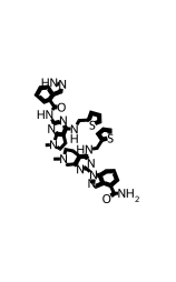 CN1CCc2c(NCc3cccs3)nc(NC(=O)c3cccc4[nH]ncc34)nc21.CN1CCc2c(nc(-n3ncc4c(C(N)=O)cccc43)nc2NCc2cccs2)C1